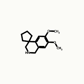 COc1cc2c(cc1OC)C1(CCCC1)CNC2